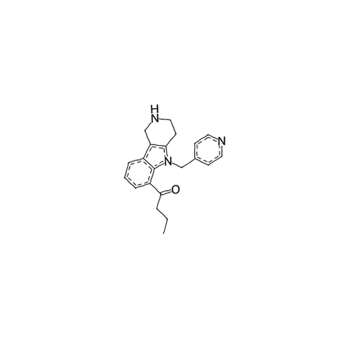 CCCC(=O)c1cccc2c3c(n(Cc4ccncc4)c12)CCNC3